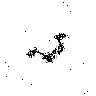 COc1cc2c(cc1OCCCCCOc1cc3c(cc1OC)C(=O)N1C=C(C)C[C@@H]1[C@@H](O)C3C(=O)OCc1ccc(NC(=O)[C@@H](C)NC(=O)[C@H](NC(=O)CCCCCN3C(=O)C=C(Oc4ccc(C#N)cc4)C3=O)C(C)C)cc1)N=C[C@H]1CC(C)=CN1C2=O